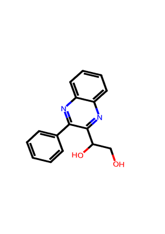 OCC(O)c1nc2ccccc2nc1-c1ccccc1